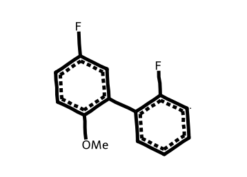 COc1ccc(F)cc1-c1ccc[c]c1F